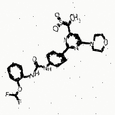 CC(c1cc(N2CCOCC2)nc(-c2ccc(NC(=O)Nc3ccccc3OC(F)F)cc2)n1)=S(=O)=O